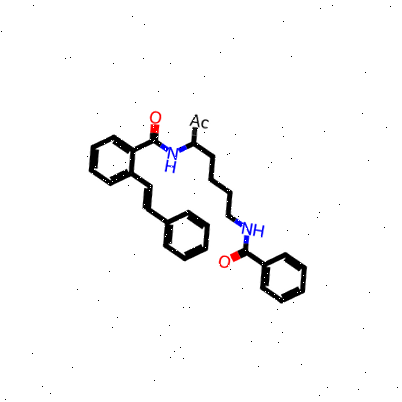 CC(=O)C(CCCCNC(=O)c1ccccc1)NC(=O)c1ccccc1/C=C/c1ccccc1